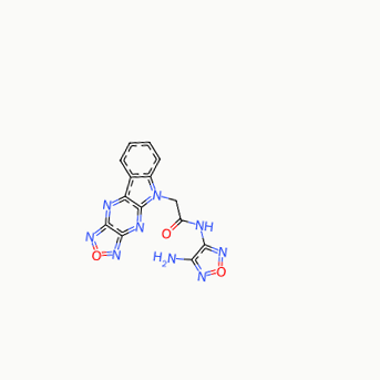 Nc1nonc1NC(=O)Cn1c2ccccc2c2nc3nonc3nc21